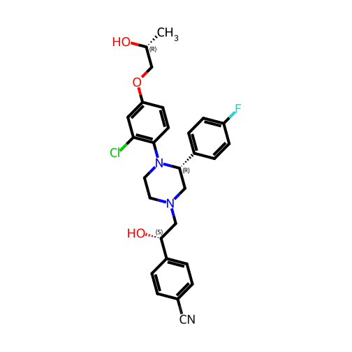 C[C@@H](O)COc1ccc(N2CCN(C[C@@H](O)c3ccc(C#N)cc3)C[C@H]2c2ccc(F)cc2)c(Cl)c1